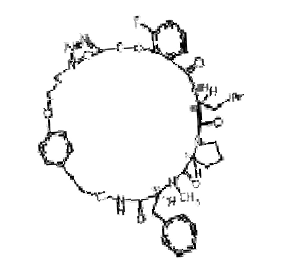 CC(C)C[C@H]1NC(=O)c2cccc(F)c2OCc2cn(nn2)CCOc2ccc(cc2)CCNC(=O)[C@H](Cc2ccccc2)N(C)C(=O)[C@H]2CCCN2C1=O